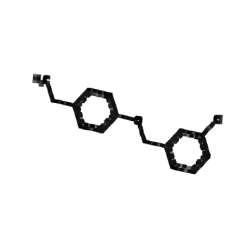 CCc1ccc(OCc2cccc(Cl)c2)cc1